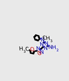 Cc1ccc(-c2nc(-c3nc(N)nc(N(C)c4ccccc4)n3)no2)o1